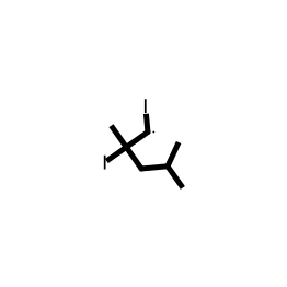 CC(C)CC(C)(I)[CH]I